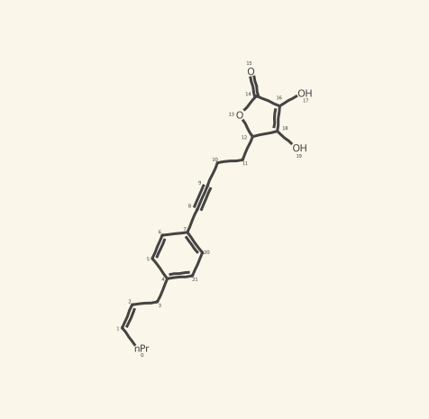 CCC/C=C\Cc1ccc(C#CCCC2OC(=O)C(O)=C2O)cc1